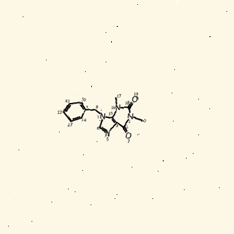 Cn1c(=O)c2ncn(Cc3ccccc3)c2n(C)c1=O